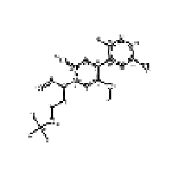 COc1cn(C(C=O)CCOC(C)(C)C)c(=O)cc1-c1cc(Cl)ccc1C